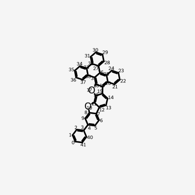 c1ccc(-c2ccc3c(c2)oc2c3ccc3c2oc2c3c3ccccc3c3c4ccccc4c4ccccc4c23)cc1